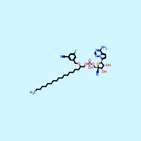 CCCCCCCCCCCCCCCCCC(COP(=O)(O)OC[C@@]1(C#N)O[C@@H](c2ccc3c(N)ncnn23)[C@H](O)[C@@H]1O)OCc1cc(F)cc(C#N)c1